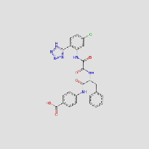 O=C(Nc1cc(Cl)ccc1-c1nnn[nH]1)C(=O)NC(Cc1ccccc1)C(=O)Nc1ccc(C(=O)O)cc1